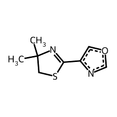 CC1(C)CSC(c2cocn2)=N1